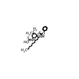 CCCCCCCCC(NC(=S)Oc1ccccc1)C1(C)CC(NC(O)=S)CC(C)(C)C1